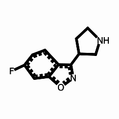 Fc1ccc2c(C3CCNC3)noc2c1